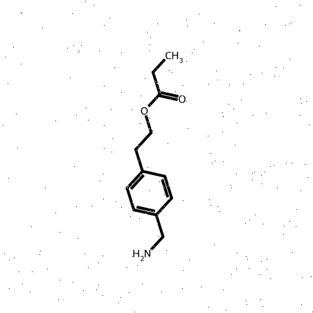 CCC(=O)OCCc1ccc(CN)cc1